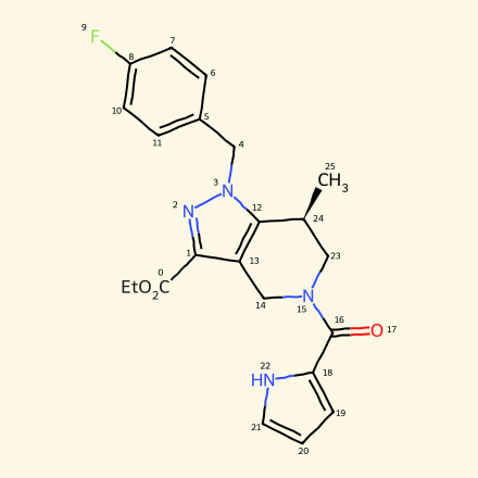 CCOC(=O)c1nn(Cc2ccc(F)cc2)c2c1CN(C(=O)c1ccc[nH]1)C[C@@H]2C